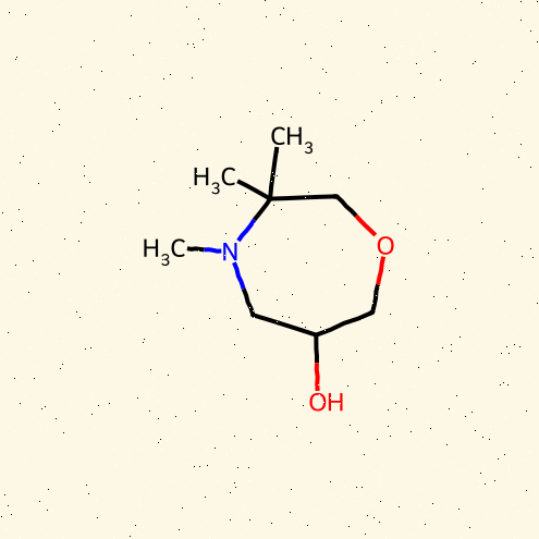 CN1CC(O)COCC1(C)C